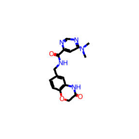 CN(C)c1cc(C(=O)NCc2ccc3c(c2)NC(=O)CO3)ncn1